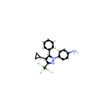 Nc1ccc(-n2nc(C(F)(F)F)c(C3CC3)c2-c2ccccc2)cc1